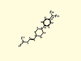 FC(F)C/C=C/C1CCC(c2ccc(C(F)F)cc2)CC1